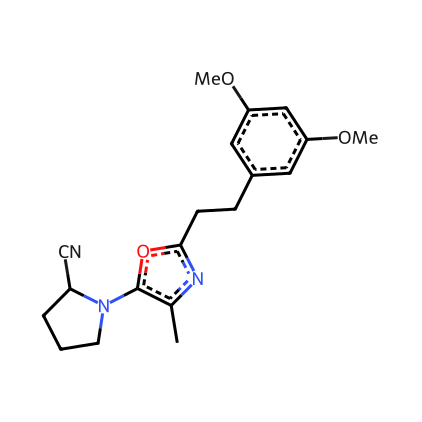 COc1cc(CCc2nc(C)c(N3CCCC3C#N)o2)cc(OC)c1